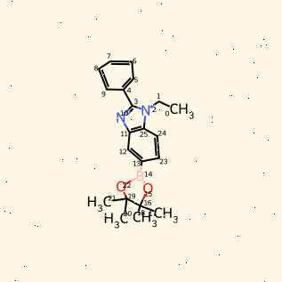 CCn1c(-c2ccccc2)nc2cc(B3OC(C)(C)C(C)(C)O3)ccc21